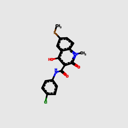 CSc1ccc2c(c1)c(O)c(C(=O)Nc1ccc(Cl)cc1)c(=O)n2C